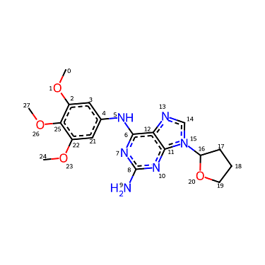 COc1cc(Nc2nc(N)nc3c2ncn3C2CCCO2)cc(OC)c1OC